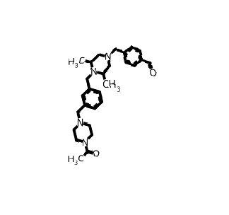 CC(=O)N1CCN(Cc2cccc(CN3C(C)CN(Cc4ccc(C=O)cc4)CC3C)c2)CC1